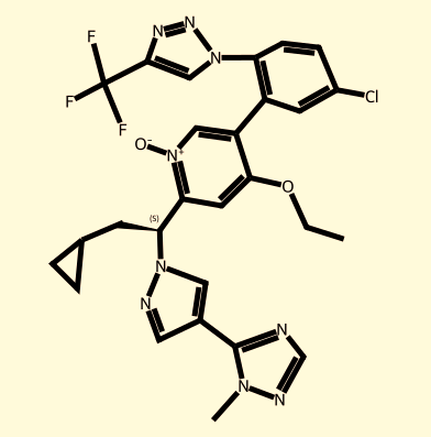 CCOc1cc([C@H](CC2CC2)n2cc(-c3ncnn3C)cn2)[n+]([O-])cc1-c1cc(Cl)ccc1-n1cc(C(F)(F)F)nn1